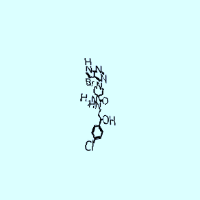 NC1(C(=O)NCCC(O)c2ccc(Cl)cc2)CCN(c2ncnc3[nH]cc(Br)c23)CC1